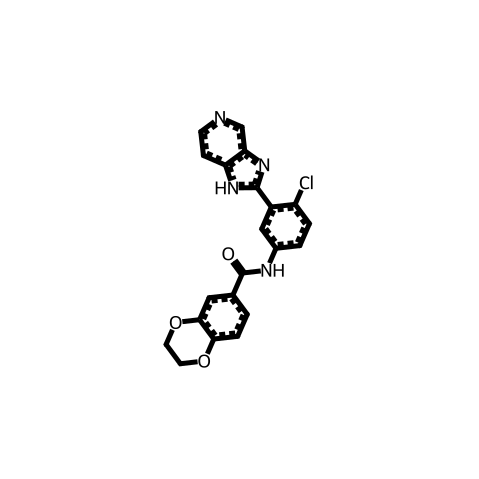 O=C(Nc1ccc(Cl)c(-c2nc3cnccc3[nH]2)c1)c1ccc2c(c1)OCCO2